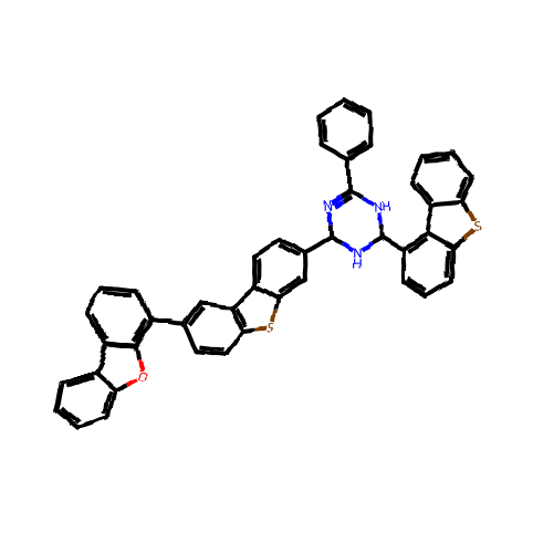 c1ccc(C2=NC(c3ccc4c(c3)sc3ccc(-c5cccc6c5oc5ccccc56)cc34)NC(c3cccc4sc5ccccc5c34)N2)cc1